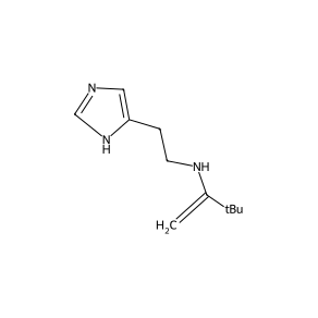 C=C(NCCc1cnc[nH]1)C(C)(C)C